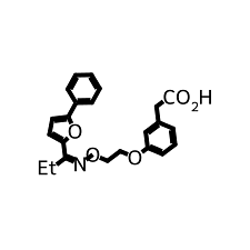 CCC(=NOCCOc1cccc(CC(=O)O)c1)c1ccc(-c2ccccc2)o1